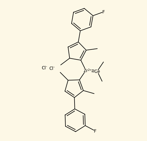 CC1=[C]([Zr+2]([C]2=C(C)C(c3cccc(F)c3)=CC2C)=[Ge]([CH3])[CH3])C(C)C=C1c1cccc(F)c1.[Cl-].[Cl-]